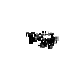 CSSCO[C@H]1CC(n2ccc(=O)[nH]c2=O)O[C@@H]1COP(=O)(O)OP(=O)(O)OP(=O)(O)O